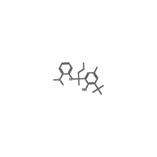 CCCC(C)(Pc1ccccc1N(C)C)c1cc(C)cc(C(C)(C)C)c1O